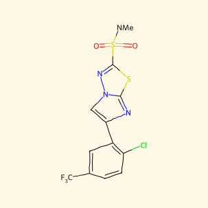 CNS(=O)(=O)c1nn2cc(-c3cc(C(F)(F)F)ccc3Cl)nc2s1